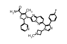 CC1=C(C(N)=O)SC(c2cccnc2)N1c1cn2nc(-c3c(-c4ccc(F)cc4)ncn3C3CN(C)C3)ccc2n1